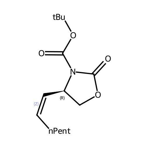 CCCCC/C=C\[C@@H]1COC(=O)N1C(=O)OC(C)(C)C